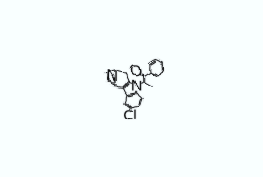 CC(C(=O)c1ccccc1)n1c2c(c3cc(Cl)ccc31)C1CCC(C2)N1C